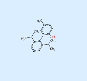 Cc1ccc(O)c(-c2c(C(C)C)cccc2C(C)C)c1